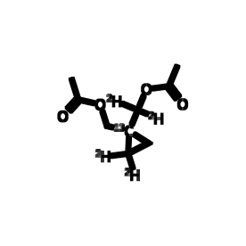 [2H]C1([2H])C[13C]1(COC(C)=O)C([2H])([2H])OC(C)=O